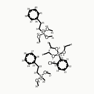 CCO[Si](OCC)(OCC)c1ccccc1Cl.CO[Si](C)(CCc1ccccc1)OC.CO[Si](CCc1ccccc1)(OC)OC